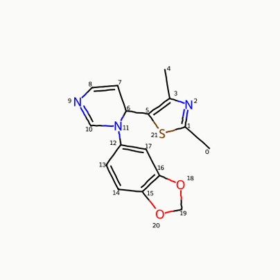 Cc1nc(C)c(C2C=CN=CN2c2ccc3c(c2)OCO3)s1